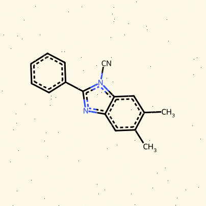 Cc1cc2nc(-c3ccccc3)n(C#N)c2cc1C